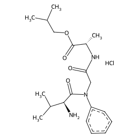 CC(C)COC(=O)[C@H](C)NC(=O)CN(C(=O)[C@@H](N)C(C)C)c1ccccc1.Cl